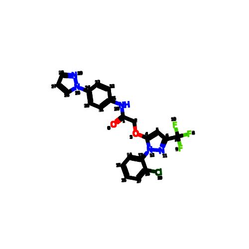 O=C(COc1cc(C(F)(F)F)nn1-c1ccccc1Cl)Nc1ccc(-n2cccn2)cc1